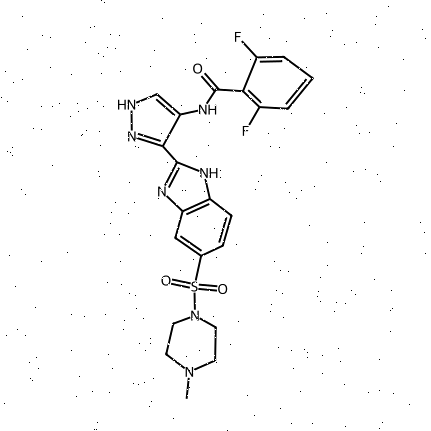 CN1CCN(S(=O)(=O)c2ccc3[nH]c(-c4n[nH]cc4NC(=O)c4c(F)cccc4F)nc3c2)CC1